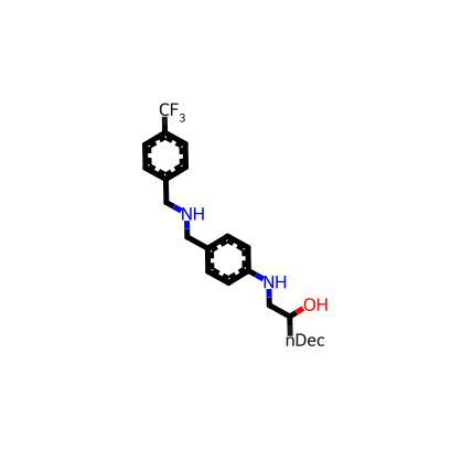 CCCCCCCCCCC(O)CNc1ccc(CNCc2ccc(C(F)(F)F)cc2)cc1